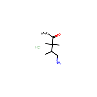 COC(=O)C(C)(C)C(C)CN.Cl